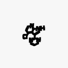 Clc1ccnc2[nH]cc(-c3ncccn3)c12